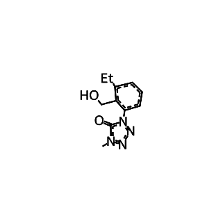 CCc1cccc(-n2nnn(C)c2=O)c1CO